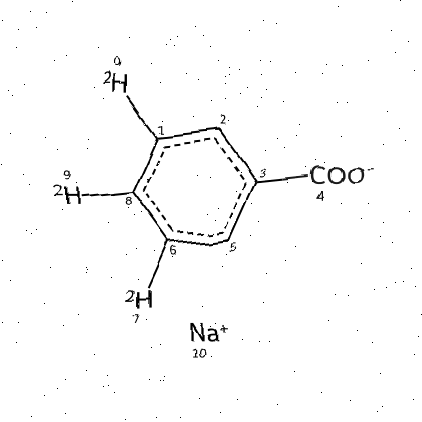 [2H]c1cc(C(=O)[O-])cc([2H])c1[2H].[Na+]